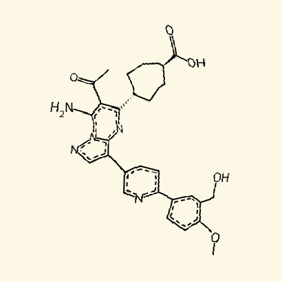 COc1ccc(-c2ccc(-c3cnn4c(N)c(C(C)=O)c([C@H]5CC[C@H](C(=O)O)CC5)nc34)cn2)cc1CO